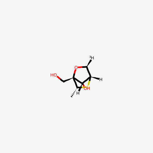 [3H][C@@H]1O[C@@]2(CO)[C@@H](C)S[C@@H]1[C@@H]2O